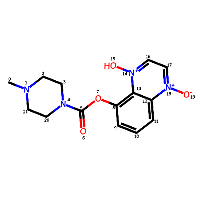 CN1CCN(C(=O)Oc2cccc3c2[n+](O)cc[n+]3[O-])CC1